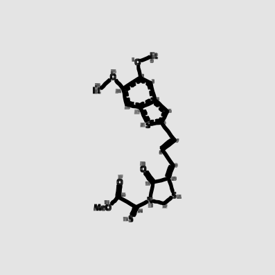 CCOc1cc2cc(C=CC=C3SCN(C(=S)C(=O)OC)C3=O)sc2cc1OCC